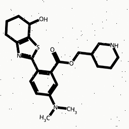 CN(C)c1ccc(-c2nc3c(s2)C(O)CCC3)c(C(=O)OCC2CCCNC2)c1